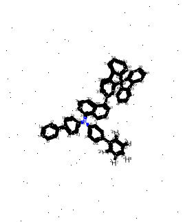 [2H]c1c([2H])c([2H])c(-c2ccc(N(c3ccc(-c4ccccc4)cc3)c3cccc4c(-c5ccc6c(c5)C5(c7ccccc7-c7ccccc75)c5ccccc5-6)cccc34)cc2)c([2H])c1[2H]